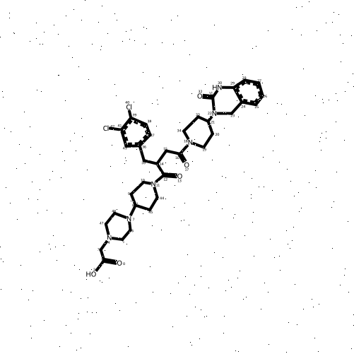 O=C(O)CN1CCN(C2CCN(C(=O)C(CC(=O)N3CCC(N4Cc5ccccc5NC4=O)CC3)Cc3ccc(Cl)c(Cl)c3)CC2)CC1